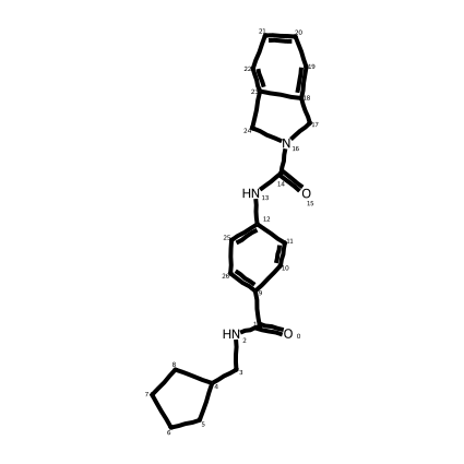 O=C(NCC1CCCC1)c1ccc(NC(=O)N2Cc3ccccc3C2)cc1